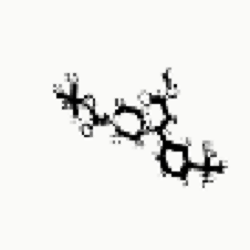 COC(=O)CC(c1cccc(C(F)(F)F)c1)N1CCN(C(=O)OC(C)(C)C)CC1